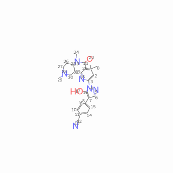 Cc1cc(-n2ncc(-c3ccc(C#N)cc3)c2O)ncc1C(=O)N(C)C1CCN(C)CC1